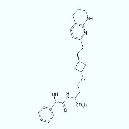 O=C(O)C(CCO[C@H]1C[C@H](CCc2ccc3c(n2)NCCC3)C1)NC(=O)[C@H](O)c1ccccc1